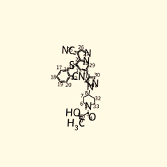 C[C@H](O)C(=O)N1CCC(n2cc(-c3cc(Sc4ccccc4C#N)c4c(C#N)cnn4c3)cn2)CC1